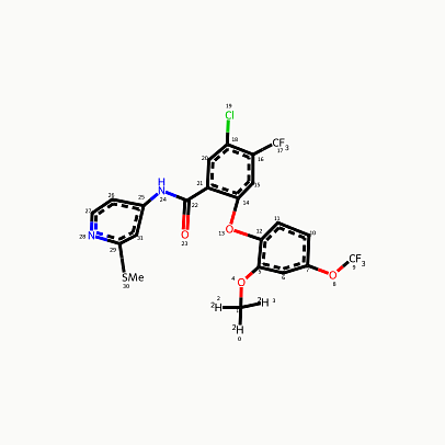 [2H]C([2H])([2H])Oc1cc(OC(F)(F)F)ccc1Oc1cc(C(F)(F)F)c(Cl)cc1C(=O)Nc1ccnc(SC)c1